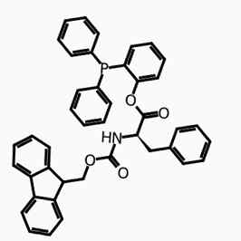 O=C(N[C@H](Cc1ccccc1)C(=O)Oc1ccccc1P(c1ccccc1)c1ccccc1)OCC1c2ccccc2-c2ccccc21